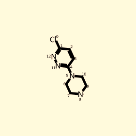 Clc1ccc(N2CC[N]CC2)nn1